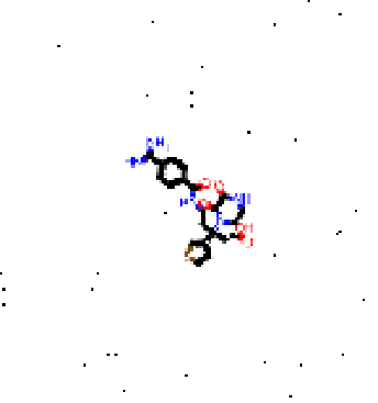 N=C(N)c1ccc(C(=O)NCCC(CC(=O)O)(c2ccsc2)N2CCNC(=O)C2=O)cc1